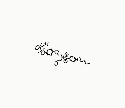 CCCCOc1ccc(S(=O)(=O)N(CCOC)CCOc2ccc(OC(C)(C)C(=O)O)cc2)cc1